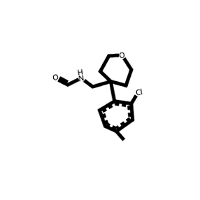 Cc1ccc(C2(CNC=O)CCOCC2)c(Cl)c1